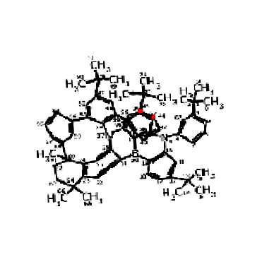 CC(C)(C)c1cccc(N2c3cc(C(C)(C)C)ccc3B3c4cc5c6cc4N(c4cc(C(C)(C)C)cc2c43)c2c(-c3ccccc3)cc(C(C)(C)C)cc2-c2cccc(c2)C6(C)CCC5(C)C)c1